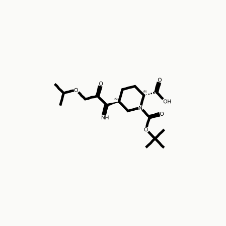 CC(C)OCC(=O)C(=N)[C@H]1CC[C@H](C(=O)O)N(C(=O)OC(C)(C)C)C1